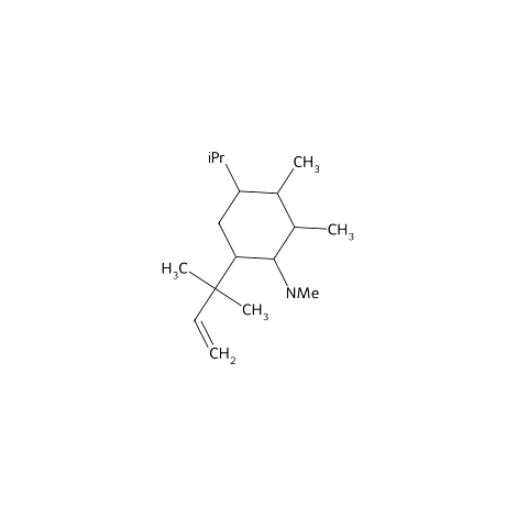 C=CC(C)(C)C1CC(C(C)C)C(C)C(C)C1NC